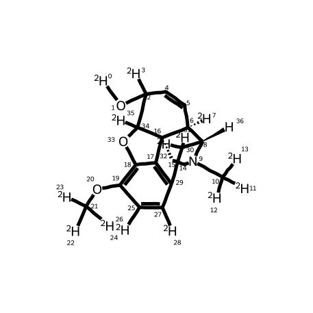 [2H]OC1([2H])C=C[C@@]2([2H])[C@@H]3N(C([2H])([2H])[2H])CC[C@@]24c2c(c(OC([2H])([2H])[2H])c([2H])c([2H])c2C3([2H])[2H])OC14[2H]